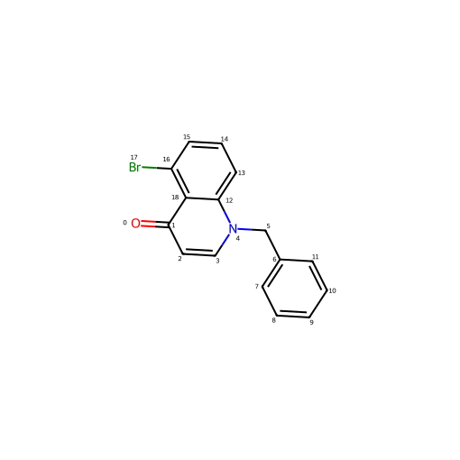 O=c1ccn(Cc2ccccc2)c2cccc(Br)c12